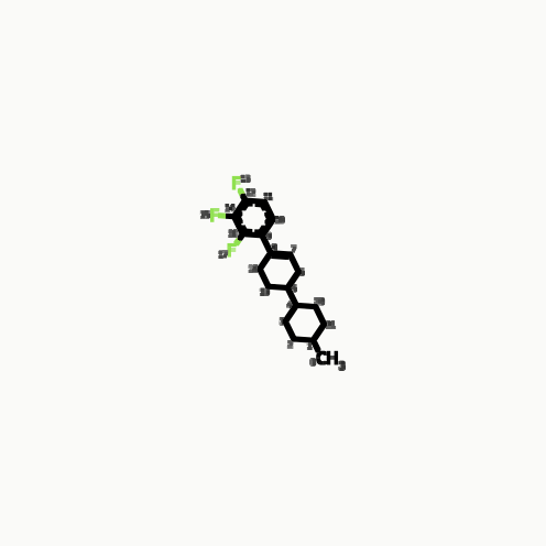 CC1CCC(C2CC=C(c3ccc(F)c(F)c3F)CC2)CC1